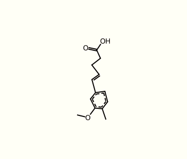 COc1cc(C=CCCC(=O)O)ccc1C